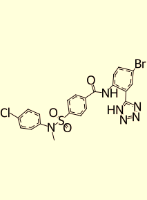 CN(c1ccc(Cl)cc1)S(=O)(=O)c1ccc(C(=O)Nc2ccc(Br)cc2-c2nnn[nH]2)cc1